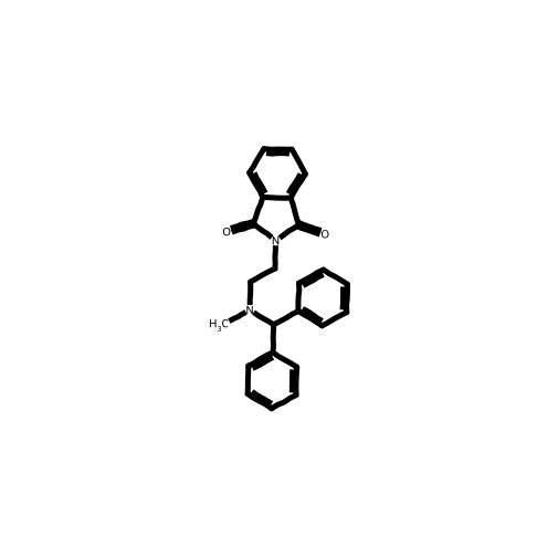 CN(CCN1C(=O)c2ccccc2C1=O)C(c1ccccc1)c1ccccc1